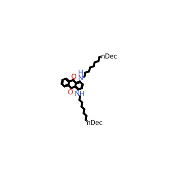 CCCCCCCCCCCCCCCCCCNc1ccc(NCCCCCCCCCCCCCCCCCC)c2c1C(=O)c1ccccc1C2=O